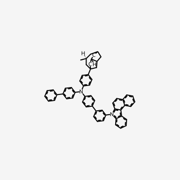 C[C@H]1CC2CC3CC(c4ccc(N(c5ccc(-c6ccccc6)cc5)c5ccc(-c6cccc(-n7c8ccccc8c8c9ccccc9ccc87)c6)cc5)cc4)(C1)C[C@@H]3C2